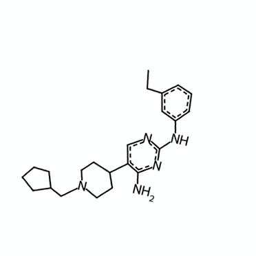 CCc1cccc(Nc2ncc(C3CCN(CC4CCCC4)CC3)c(N)n2)c1